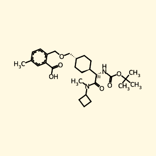 Cc1ccc(COC[C@H]2CC[C@H]([C@H](NC(=O)OC(C)(C)C)C(=O)N(C)C3CCC3)CC2)c(C(=O)O)c1